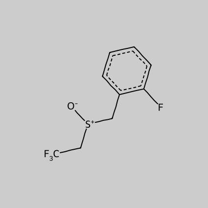 [O-][S+](Cc1ccccc1F)CC(F)(F)F